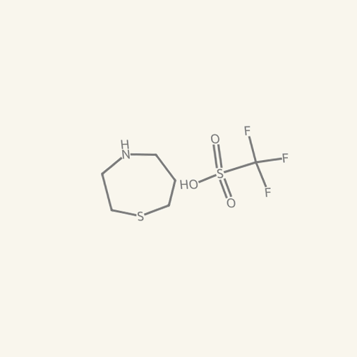 C1CNCCSC1.O=S(=O)(O)C(F)(F)F